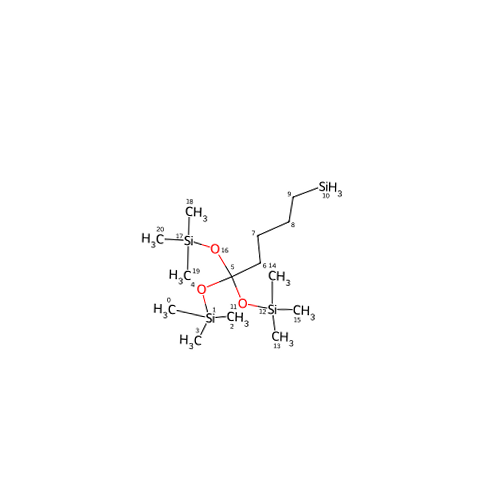 C[Si](C)(C)OC(CCCC[SiH3])(O[Si](C)(C)C)O[Si](C)(C)C